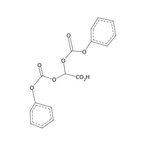 O=C(Oc1ccccc1)OC(OC(=O)Oc1ccccc1)C(=O)O